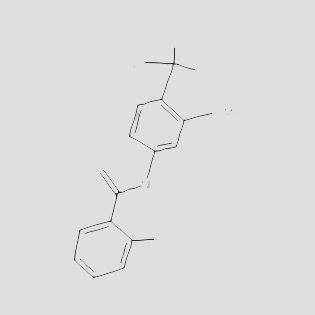 COc1cc(NC(=O)c2ccccc2Cl)ccc1C(O)(C(F)(F)F)C(F)(F)F